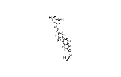 C=CCOc1ccc2nc(-c3ccc(C=CCCCC(C)O)cc3F)ccc2c1